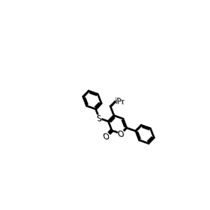 CC(C)Cc1cc(-c2ccccc2)oc(=O)c1Sc1ccccc1